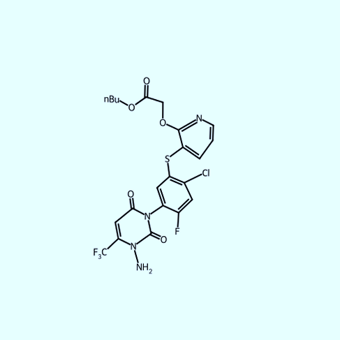 CCCCOC(=O)COc1ncccc1Sc1cc(-n2c(=O)cc(C(F)(F)F)n(N)c2=O)c(F)cc1Cl